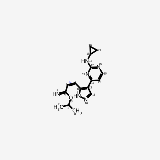 CC(C)OC(=N)/C=C\c1[nH]ncc1-c1ccnc(NC2CC2)n1